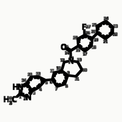 Cc1nc2cc(-c3ccc4c(c3)CN(C(=O)c3ccc(-c5ccccc5)c(F)c3)CCC4)ccc2[nH]1